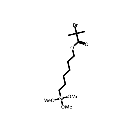 CO[Si](CCCCCCOC(=O)C(C)(C)Br)(OC)OC